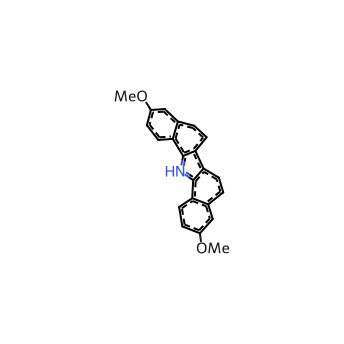 COc1ccc2c(ccc3c4ccc5cc(OC)ccc5c4[nH]c23)c1